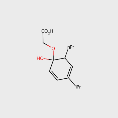 CCCC1C=C(C(C)C)C=CC1(O)OCC(=O)O